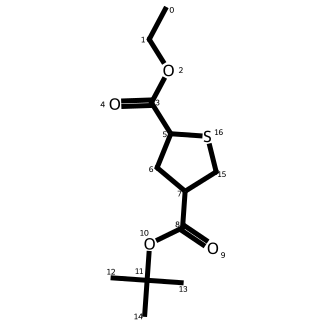 CCOC(=O)C1CC(C(=O)OC(C)(C)C)CS1